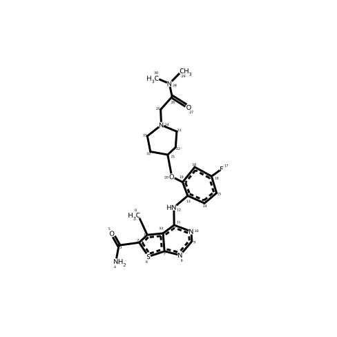 Cc1c(C(N)=O)sc2ncnc(Nc3ccc(F)cc3OC3CCN(CC(=O)N(C)C)CC3)c12